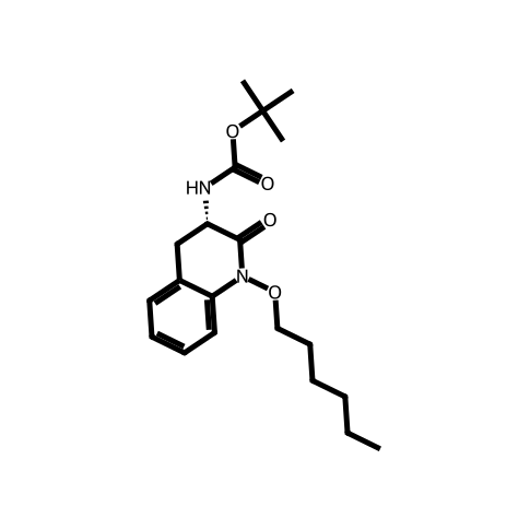 CCCCCCON1C(=O)[C@@H](NC(=O)OC(C)(C)C)Cc2ccccc21